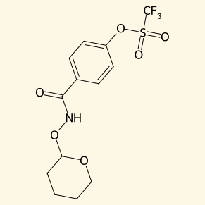 O=C(NOC1CCCCO1)c1ccc(OS(=O)(=O)C(F)(F)F)cc1